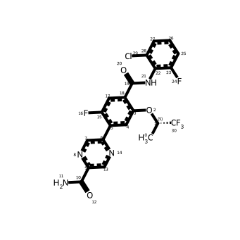 C[C@H](Oc1cc(-c2cnc(C(N)=O)cn2)c(F)cc1C(=O)Nc1c(F)cccc1Cl)C(F)(F)F